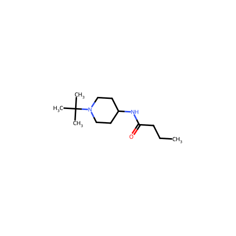 CCCC(=O)NC1CCN(C(C)(C)C)CC1